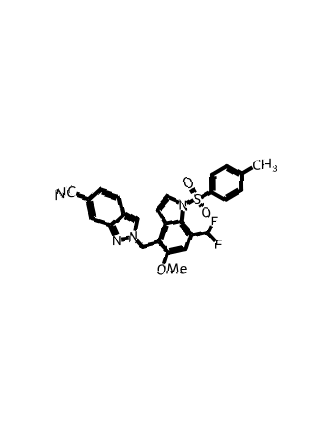 COc1cc(C(F)F)c2c(ccn2S(=O)(=O)c2ccc(C)cc2)c1Cn1cc2ccc(C#N)cc2n1